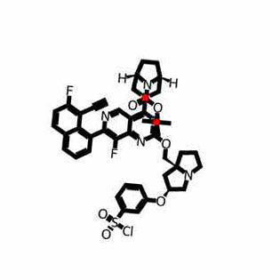 C#Cc1c(F)ccc2cccc(-c3ncc4c(N5C[C@H]6CC[C@@H](C5)N6C(=O)OC(C)(C)C)nc(OC[C@@]56CCCN5C[C@@H](Oc5cccc(S(=O)(=O)Cl)c5)C6)nc4c3F)c12